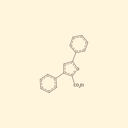 CCOC(=O)c1oc(-c2ccccc2)cc1-c1ccccc1